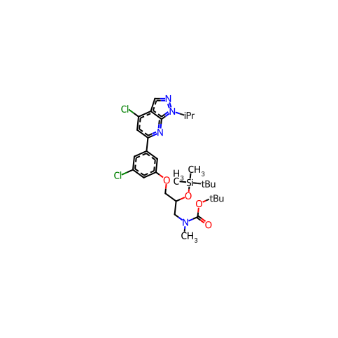 CC(C)n1ncc2c(Cl)cc(-c3cc(Cl)cc(OCC(CN(C)C(=O)OC(C)(C)C)O[Si](C)(C)C(C)(C)C)c3)nc21